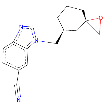 N#Cc1ccc2ncn(C[C@H]3CCC[C@@]4(CO4)C3)c2c1